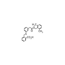 Cc1cccc(C)c1COC(=O)Cc1cccc(SCc2ccccc2C(=O)O)c1